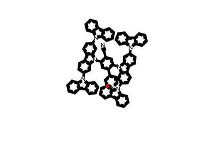 N#Cc1cc(-n2c3cc(-n4c5ccccc5c5ccccc54)ccc3c3ccc(-n4c5ccccc5c5ccccc54)cc32)c(-c2ccncc2)cc1-n1c2cc(-n3c4ccccc4c4ccccc43)ccc2c2ccc(-n3c4ccccc4c4ccccc43)cc21